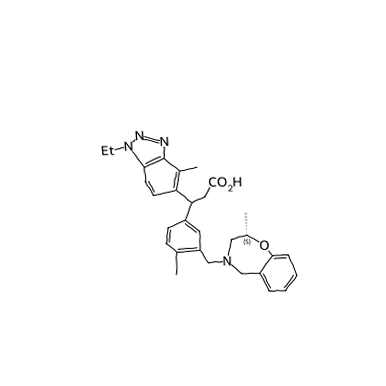 CCn1nnc2c(C)c(C(CC(=O)O)c3ccc(C)c(CN4Cc5ccccc5O[C@@H](C)C4)c3)ccc21